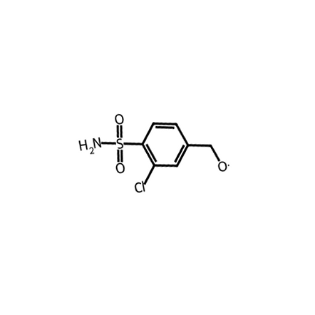 NS(=O)(=O)c1ccc(C[O])cc1Cl